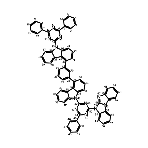 c1ccc(-c2nc(-c3ccccc3)nc(-n3c4ccccc4c4c(-c5cccc(-c6cccc7c6c6ccccc6n7-c6nc(-c7ccccc7)nc(-n7c8ccccc8n8c9ccccc9nc78)n6)c5)cccc43)n2)cc1